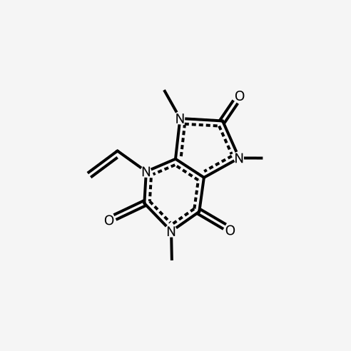 C=Cn1c(=O)n(C)c(=O)c2c1n(C)c(=O)n2C